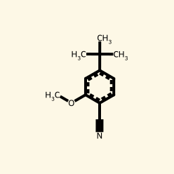 COc1cc(C(C)(C)C)ccc1C#N